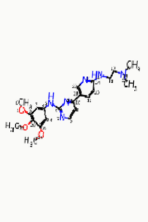 COc1cc(Nc2nccc(-c3ccc(NCCN(C)C)nc3)n2)cc(OC)c1OC